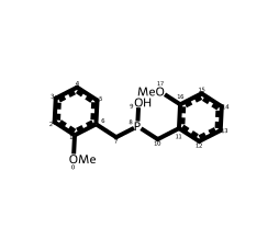 COc1ccccc1CP(O)Cc1ccccc1OC